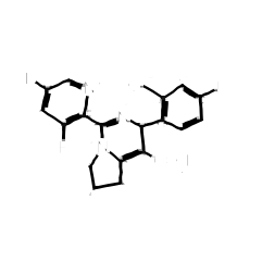 CCOC(=O)C1=C2CCCN2C(c2ncc(F)cc2F)=NC1c1ccc(F)cc1Cl